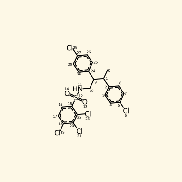 CC(c1ccc(Cl)cc1)C(CNS(=O)(=O)c1ccc(Cl)c(Cl)c1Cl)c1ccc(Cl)cc1